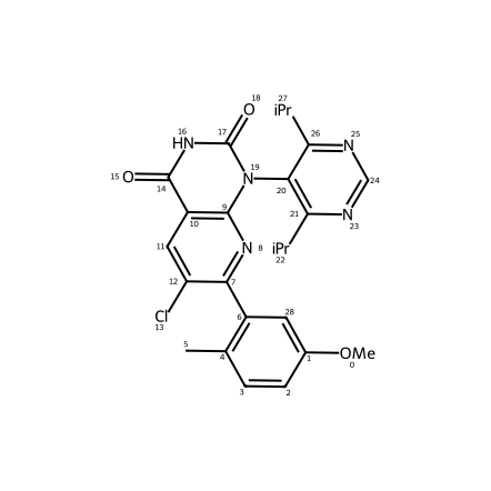 COc1ccc(C)c(-c2nc3c(cc2Cl)c(=O)[nH]c(=O)n3-c2c(C(C)C)ncnc2C(C)C)c1